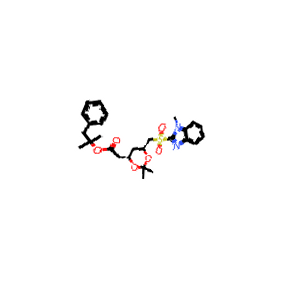 Cn1c(S(=O)(=O)C[C@@H]2C[C@H](CC(=O)OC(C)(C)Cc3ccccc3)OC(C)(C)O2)nc2ccccc21